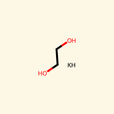 OCCO.[KH]